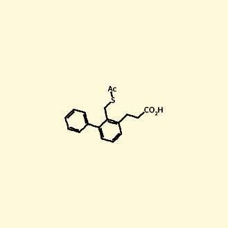 CC(=O)SCc1c(CCC(=O)O)cccc1-c1ccccc1